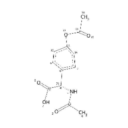 CC(=O)N[C@H](C(=O)O)c1ccc(OC(C)=O)cc1